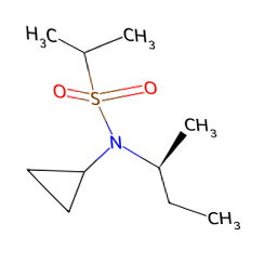 CC[C@H](C)N(C1CC1)S(=O)(=O)C(C)C